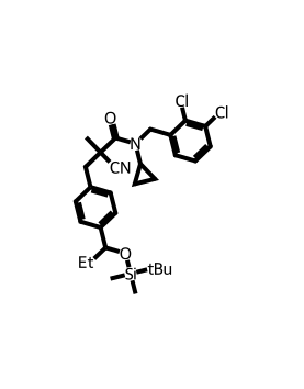 CCC(O[Si](C)(C)C(C)(C)C)c1ccc(CC(C)(C#N)C(=O)N(Cc2cccc(Cl)c2Cl)C2CC2)cc1